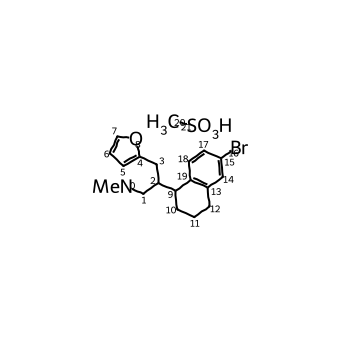 CNCC(Cc1ccco1)C1CCCc2cc(Br)ccc21.CS(=O)(=O)O